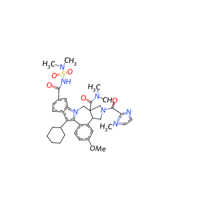 COc1ccc2c(c1)C1CN(C(=O)c3nccn3C)CC1(C(=O)N(C)C)Cn1c-2c(C2CCCCC2)c2ccc(C(=O)NS(=O)(=O)N(C)C)cc21